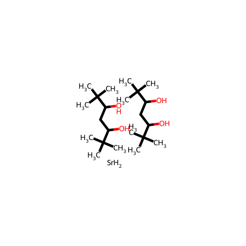 CC(C)(C)C(O)CC(O)C(C)(C)C.CC(C)(C)C(O)CC(O)C(C)(C)C.[SrH2]